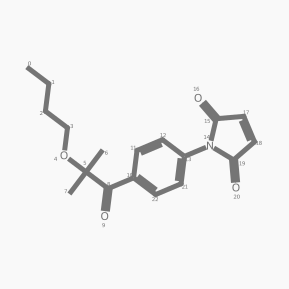 CCCCOC(C)(C)C(=O)c1ccc(N2C(=O)C=CC2=O)cc1